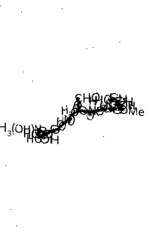 COC(OCCOCCOCCNC(=O)CCOCC(C)(COCCC=O)COCCC(=O)NCCOCCOCCOC(OC(CO)N(C)O)C(O)CO)C(O)C(O)C(O)C(C)CO